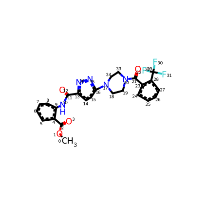 COC(=O)c1ccccc1NC(=O)c1ccc(N2CCN(C(=O)c3ccccc3C(F)(F)F)CC2)nn1